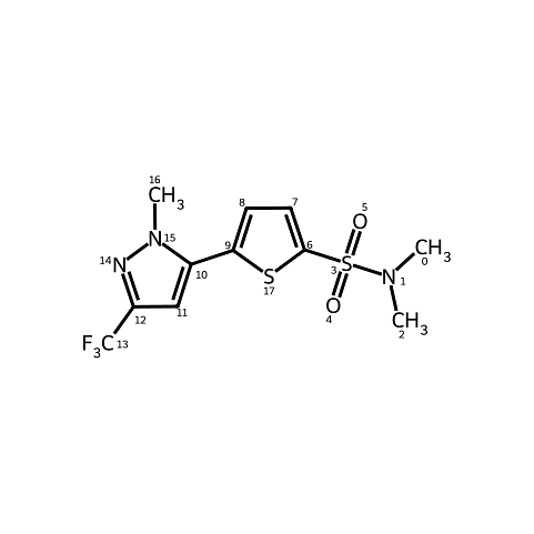 CN(C)S(=O)(=O)c1ccc(-c2cc(C(F)(F)F)nn2C)s1